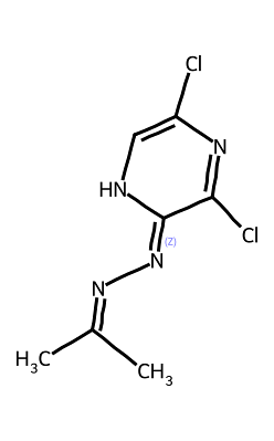 CC(C)=N/N=c1\[nH]cc(Cl)nc1Cl